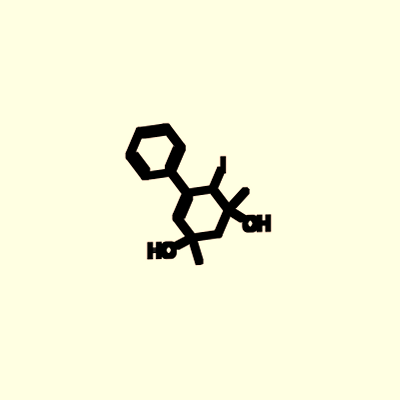 CC1(O)C=C(c2ccccc2)C(I)C(C)(O)C1